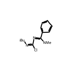 CCC(C)/N=C(Cl)\N=C(/NC)c1ccccc1